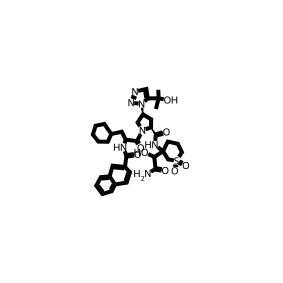 CC(C)(O)c1cnnn1[C@H]1C[C@@H](C(=O)NC2(C(O)C(N)=O)CCCS(=O)(=O)C2)N(C(=O)C(CC2CCCCC2)NC(=O)c2ccc3ccccc3c2)C1